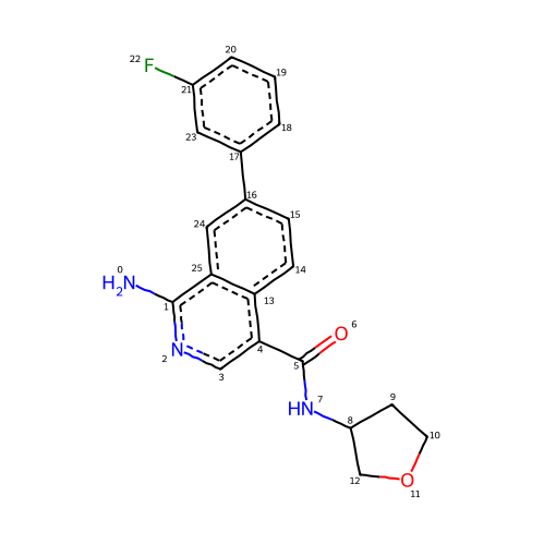 Nc1ncc(C(=O)NC2CCOC2)c2ccc(-c3cccc(F)c3)cc12